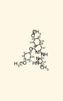 COc1ccc(Oc2nc(Nc3cc(C)[nH]n3)cc3ccc(OC)cc23)cc1